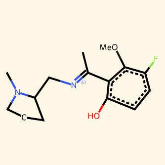 COc1c(F)ccc(O)c1/C(C)=N/CC1CCCN1C